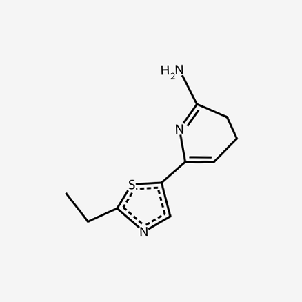 CCc1ncc(C2=CCCC(N)=N2)s1